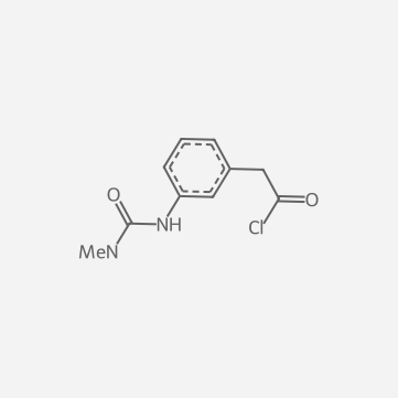 CNC(=O)Nc1cccc(CC(=O)Cl)c1